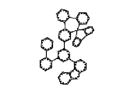 c1ccc(-c2ccccc2-c2cc(-c3cccc4oc5ccccc5c34)nc(-c3ccc4c(c3)C3(c5ccccc5-c5ccccc5-4)c4ccccc4-c4ccccc43)n2)cc1